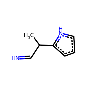 CC(C=N)c1ccc[nH]1